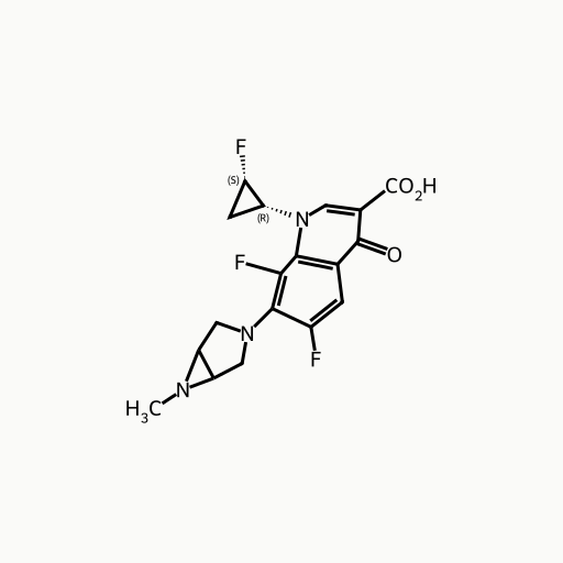 CN1C2CN(c3c(F)cc4c(=O)c(C(=O)O)cn([C@@H]5C[C@@H]5F)c4c3F)CC21